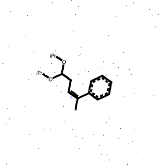 C/C(=C/CC(OC(C)C)OC(C)C)c1ccccc1